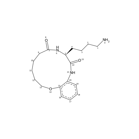 NCCCC[C@@H]1NC(=O)CCCCCOc2ccccc2NC1=O